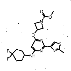 COC(=O)N1CC(Oc2cc(NC3CCC(F)(F)CC3)nc(-c3csc(C)n3)n2)C1